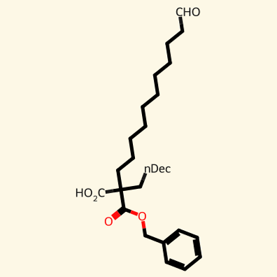 CCCCCCCCCCCC(CCCCCCCCCCC=O)(C(=O)O)C(=O)OCc1ccccc1